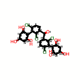 O=C(c1ccc(Cl)c(-c2c(O)cc(O)cc2O)c1Cl)c1ccc(Cl)c(-c2c(O)cc(O)cc2O)c1Cl